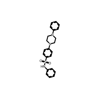 O=S(=O)(Nc1ccccc1)c1ccc(N2CCN(c3ccccc3)CC2)cc1